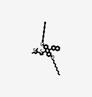 C#CC#CC#CC#CC#COc1ccc2c(-c3ccc4ccccc4c3)c3cc(OCCCCCCCCCC)ccc3c(-c3ccc(-c4cc(C)sc4C)s3)c2c1